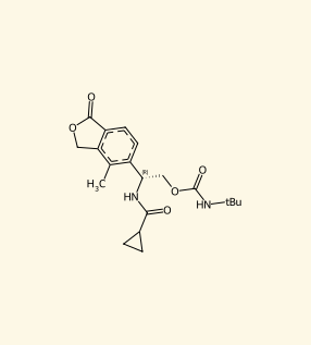 Cc1c([C@H](COC(=O)NC(C)(C)C)NC(=O)C2CC2)ccc2c1COC2=O